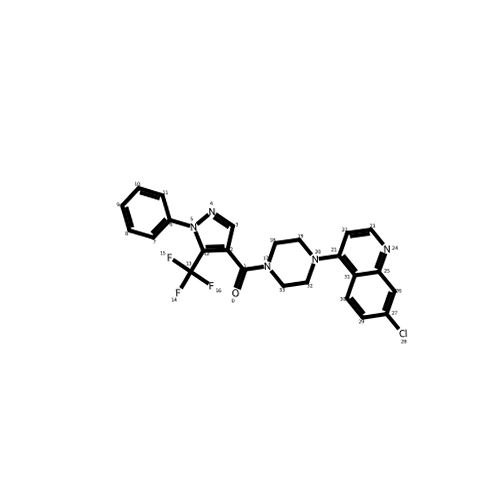 O=C(c1cnn(-c2ccccc2)c1C(F)(F)F)N1CCN(c2ccnc3cc(Cl)ccc23)CC1